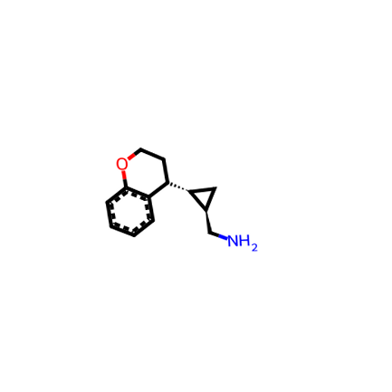 NC[C@@H]1C[C@H]1C1CCOc2ccccc21